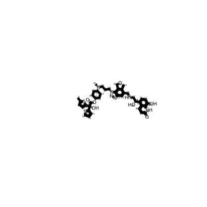 Cc1ccc([C@](O)(C(=O)O[C@H]2CC[C@H](N(C)CCCn3nnc4cc(CNC[C@H](O)c5ccc(O)c6[nH]c(=O)ccc56)c5c(c43)COC5)CC2)c2cccs2)s1